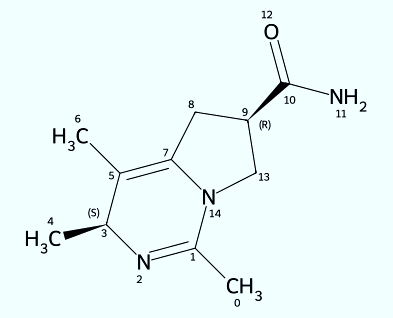 CC1=N[C@@H](C)C(C)=C2C[C@@H](C(N)=O)CN12